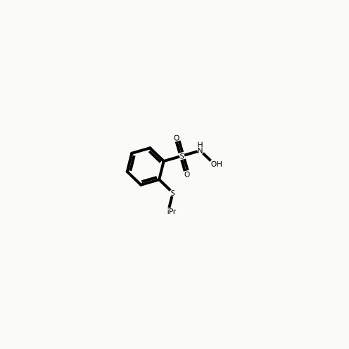 CC(C)Sc1ccccc1S(=O)(=O)NO